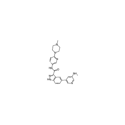 CN1CCN(c2ccc(NC(=O)c3n[nH]c4ccc(-c5cncc(N)c5)cc34)cn2)CC1